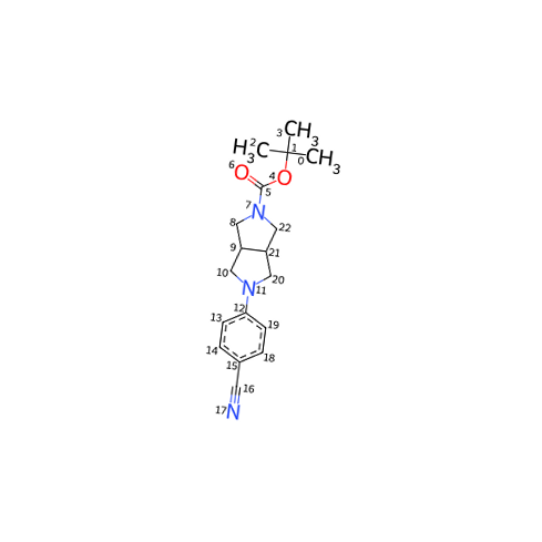 CC(C)(C)OC(=O)N1CC2CN(c3ccc(C#N)cc3)CC2C1